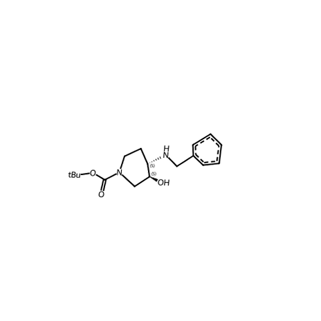 CC(C)(C)OC(=O)N1CC[C@H](NCc2ccccc2)[C@@H](O)C1